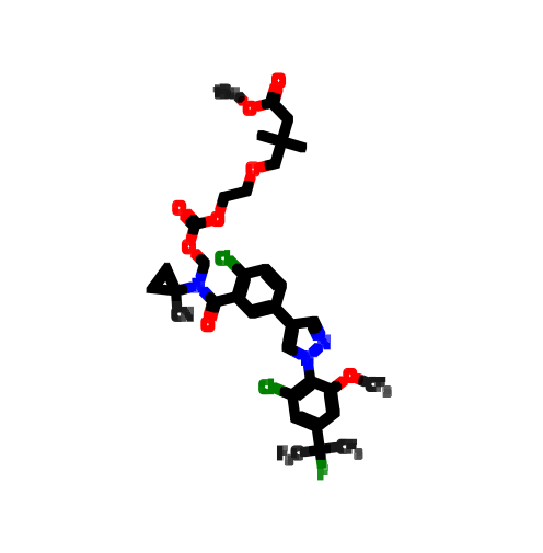 CC(C)(COCCOC(=O)OCN(C(=O)c1cc(-c2cnn(-c3c(Cl)cc(C(F)(C(F)(F)F)C(F)(F)F)cc3OC(F)(F)F)c2)ccc1Cl)C1(C#N)CC1)CC(=O)OC(C)(C)C